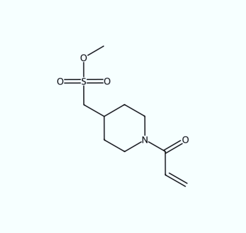 C=CC(=O)N1CCC(CS(=O)(=O)OC)CC1